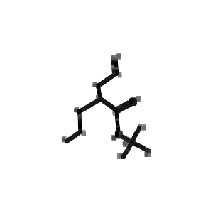 C=CCC(CCC)C(=O)OC(C)(C)C